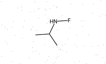 CC(C)NF